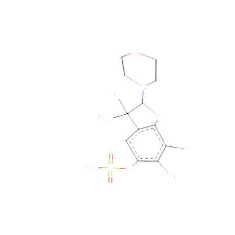 CC1(C)c2cc(OS(C)(=O)=O)c(Cl)c(Cl)c2OC1N1CCOCC1